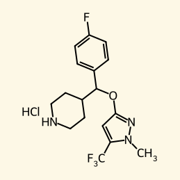 Cl.Cn1nc(OC(c2ccc(F)cc2)C2CCNCC2)cc1C(F)(F)F